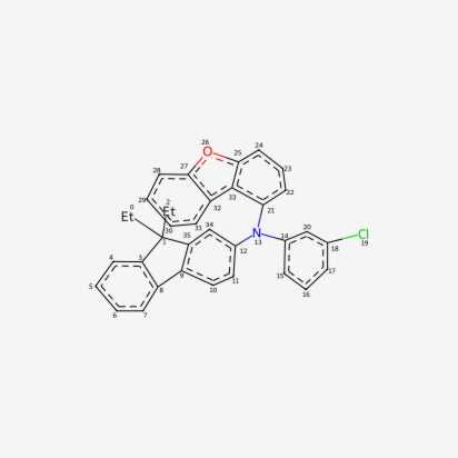 CCC1(CC)c2ccccc2-c2ccc(N(c3cccc(Cl)c3)c3cccc4oc5ccccc5c34)cc21